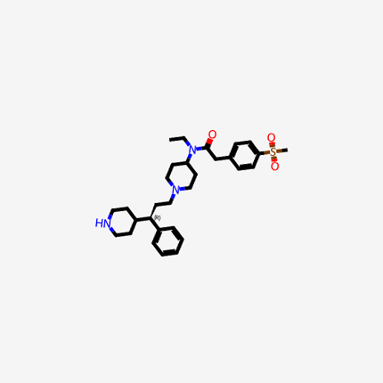 CCN(C(=O)Cc1ccc(S(C)(=O)=O)cc1)C1CCN(CC[C@@H](c2ccccc2)C2CCNCC2)CC1